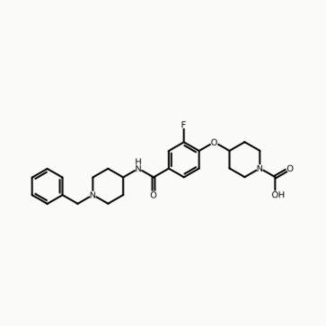 O=C(NC1CCN(Cc2ccccc2)CC1)c1ccc(OC2CCN(C(=O)O)CC2)c(F)c1